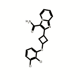 NC(=O)c1c(C2CC(Oc3cccc(Cl)c3Cl)C2)nc2ccccn12